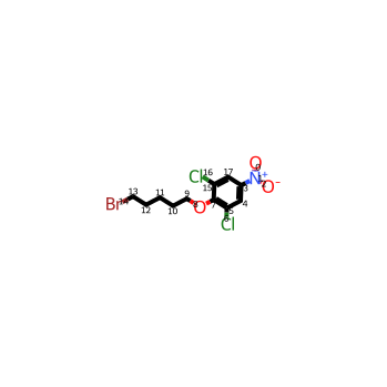 O=[N+]([O-])c1cc(Cl)c(OCCCCCBr)c(Cl)c1